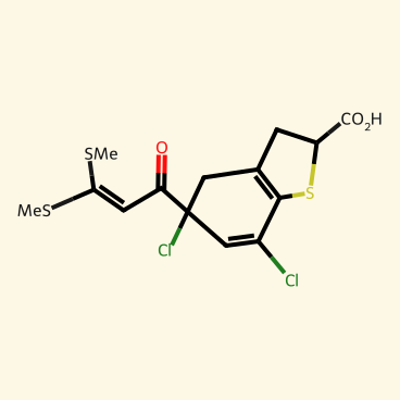 CSC(=CC(=O)C1(Cl)C=C(Cl)C2=C(CC(C(=O)O)S2)C1)SC